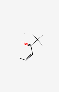 CCCCCC(C)(CCCC)C(=O)/C=C\C(=O)O